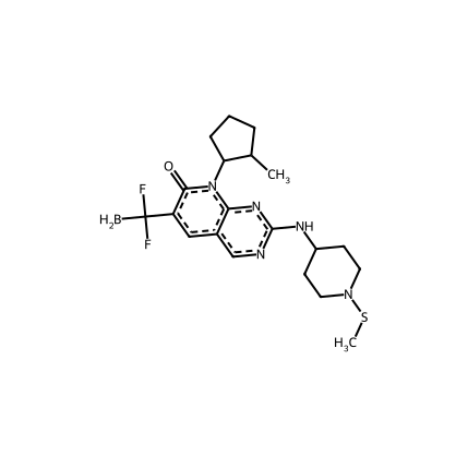 BC(F)(F)c1cc2cnc(NC3CCN(SC)CC3)nc2n(C2CCCC2C)c1=O